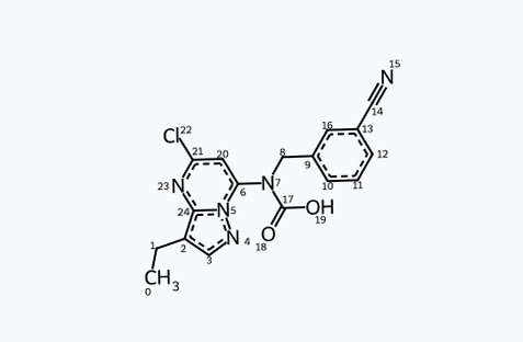 CCc1cnn2c(N(Cc3cccc(C#N)c3)C(=O)O)cc(Cl)nc12